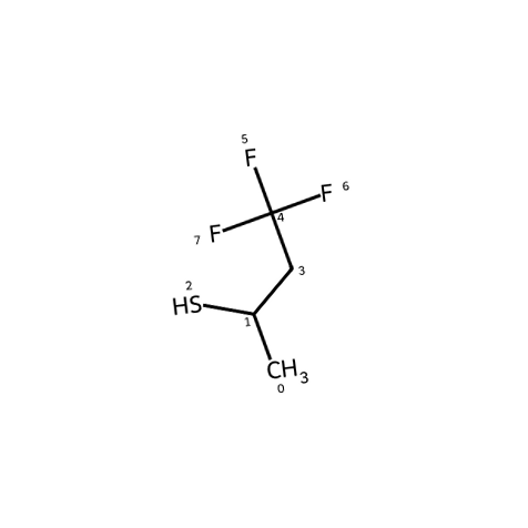 CC(S)CC(F)(F)F